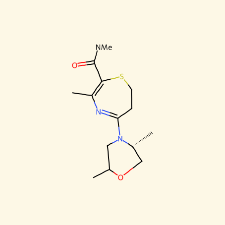 CNC(=O)C1=C(C)N=C(N2CC(C)OC[C@H]2C)CCS1